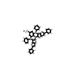 Cc1cc2c3c(c1)N(c1ccccc1)c1c(sc4cc(-c5ccccc5)sc14)B3c1sc3cc(-c4ccccc4)sc3c1N2c1ccccc1